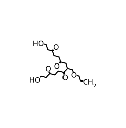 C=CCOCC(CC(=O)CCC(=O)CCO)C(=O)CCC(=O)CCO